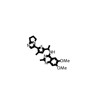 COc1cc2nc(C)nc(NC(C)c3cc(C)c(-c4cnc5n4CCC5)s3)c2cc1OC